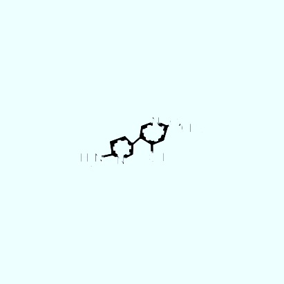 COc1cc(C)c(-c2ccc(N)nc2)cn1